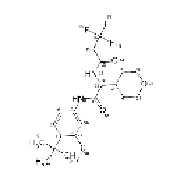 CC(C)(C)c1ccc(NC(=O)[C@H](NC(=O)CC(F)(F)F)C2CCOCC2)cc1Cl